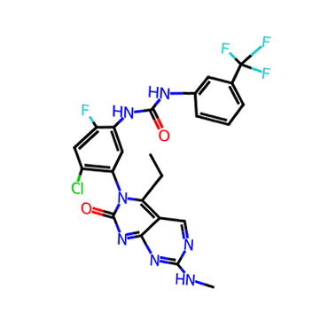 CCc1c2cnc(NC)nc2nc(=O)n1-c1cc(NC(=O)Nc2cccc(C(F)(F)F)c2)c(F)cc1Cl